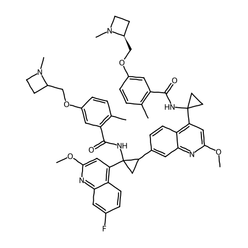 COc1cc(C2(NC(=O)c3cc(OC[C@@H]4CCN4C)ccc3C)CC2)c2ccc(C3CC3(NC(=O)c3cc(OCC4CCN4C)ccc3C)c3cc(OC)nc4cc(F)ccc34)cc2n1